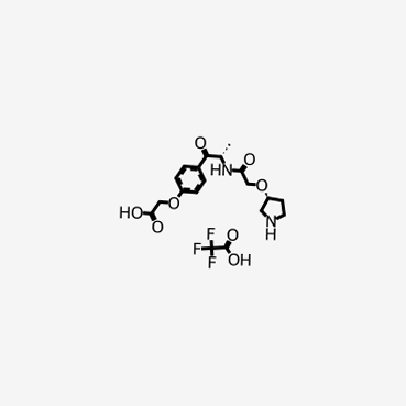 C[C@H](NC(=O)CO[C@@H]1CCNC1)C(=O)c1ccc(OCC(=O)O)cc1.O=C(O)C(F)(F)F